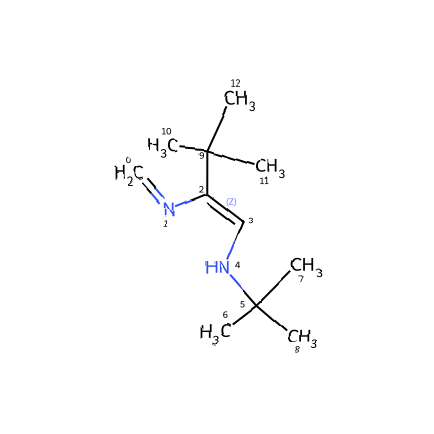 C=N/C(=C\NC(C)(C)C)C(C)(C)C